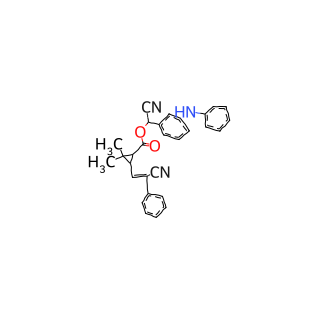 CC1(C)C(C=C(C#N)c2ccccc2)C1C(=O)OC(C#N)c1cccc(Nc2ccccc2)c1